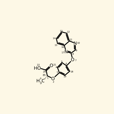 C[C@@H](Oc1ccc(Oc2cnc3ccccc3n2)cc1)C(=O)O